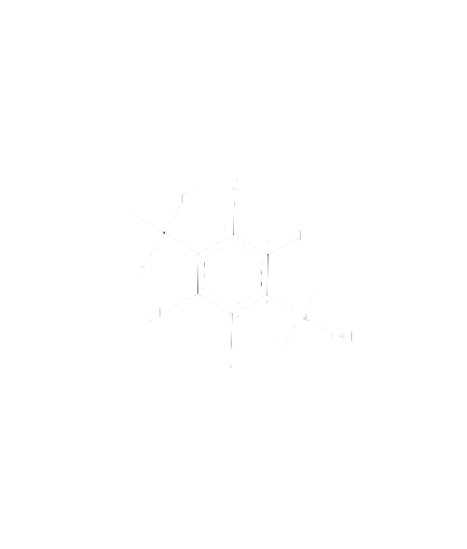 O[Si](Cl)(Cl)c1c(F)c(F)c(C(F)(F)F)c(F)c1F